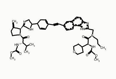 C=C1CCN(C(=O)[C@@H](NC(=O)OC)C(C)C)[C@@H]1C1=NCC(C2C=CC(C#Cc3ccc4c(ccc5nc(CN(CCC)C(=O)[C@@H](NC(=O)OC)C6CCOCC6)[nH]c54)c3)=CC2)N1